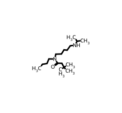 CCCCN(CCCCCNC(C)C)C(=O)CC(C)(C)C